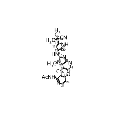 CC(=O)Nc1cc(Oc2cnc3nc(Nc4cc(C(C)(C)C#N)[nH]n4)n(C)c3c2Cl)ccn1